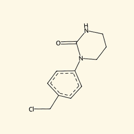 O=C1NCCCN1c1ccc(CCl)cc1